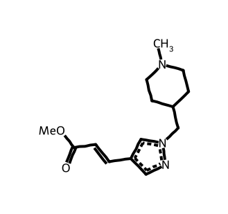 COC(=O)C=Cc1cnn(CC2CCN(C)CC2)c1